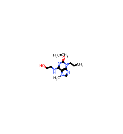 CC.CCCn1c(=O)nc(NCCO)c2c1ncn2C